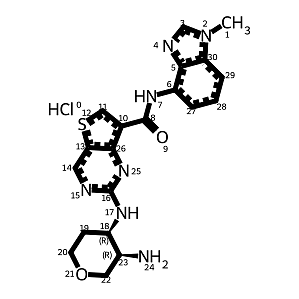 Cl.Cn1cnc2c(NC(=O)c3csc4cnc(N[C@@H]5CCOC[C@@H]5N)nc34)cccc21